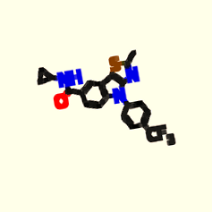 Cc1nc2c(s1)c1cc(C(=O)NC3CC3)ccc1n2-c1ccc(C(F)(F)F)cc1